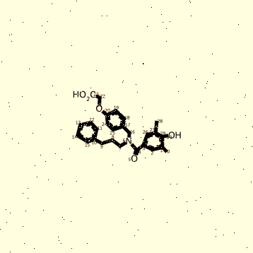 Cc1cc(C(=O)N(CCCc2ccccc2)Cc2ccc(OCC(=O)O)cc2)cc(C)c1O